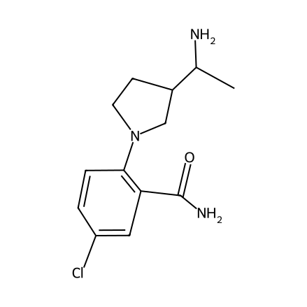 CC(N)C1CCN(c2ccc(Cl)cc2C(N)=O)C1